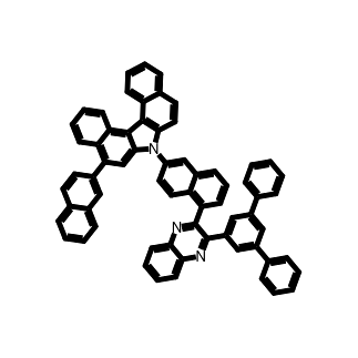 c1ccc(-c2cc(-c3ccccc3)cc(-c3nc4ccccc4nc3-c3cccc4cc(-n5c6ccc7ccccc7c6c6c7ccccc7c(-c7ccc8ccccc8c7)cc65)ccc34)c2)cc1